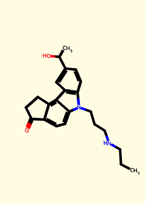 CCCNCCCn1c2ccc(C(C)O)cc2c2c3c(ccc21)C(=O)CC3